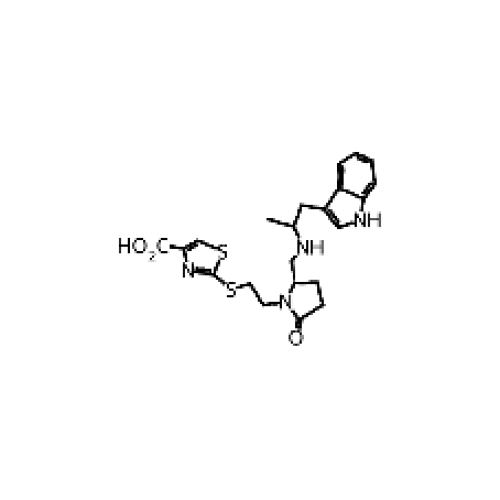 CC(Cc1c[nH]c2ccccc12)NC[C@H]1CCC(=O)N1CCSc1nc(C(=O)O)cs1